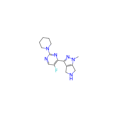 Cn1nc(-c2nc(N3CCCCC3)ncc2F)c2c1CNC2